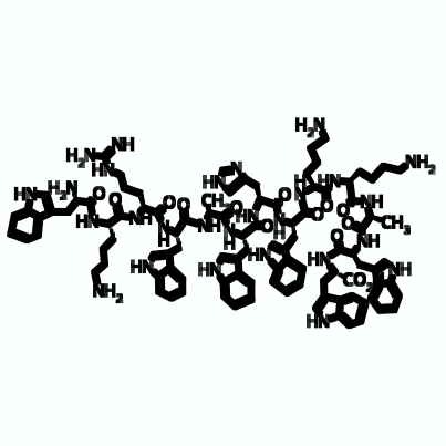 C[C@H](NC(=O)[C@H](CCCCN)NC(=O)[C@H](CCCCN)NC(=O)[C@H](Cc1c[nH]c2ccccc12)NC(=O)[C@H](Cc1c[nH]cn1)NC(=O)[C@H](Cc1c[nH]c2ccccc12)NC(=O)[C@H](C)NC(=O)[C@H](Cc1c[nH]c2ccccc12)NC(=O)[C@H](CCCNC(=N)N)NC(=O)[C@H](CCCCN)NC(=O)[C@@H](N)Cc1c[nH]c2ccccc12)C(=O)N[C@@H](Cc1c[nH]c2ccccc12)C(=O)N[C@@H](Cc1c[nH]c2ccccc12)C(=O)O